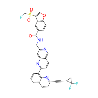 O=C(NCc1cc2nc(-c3cccc4ccc(C#CC5CC5(F)F)nc34)ccc2cn1)c1ccc2occ(S(=O)(=O)CF)c2c1